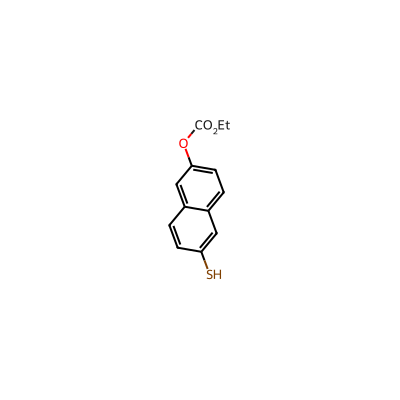 CCOC(=O)Oc1ccc2cc(S)ccc2c1